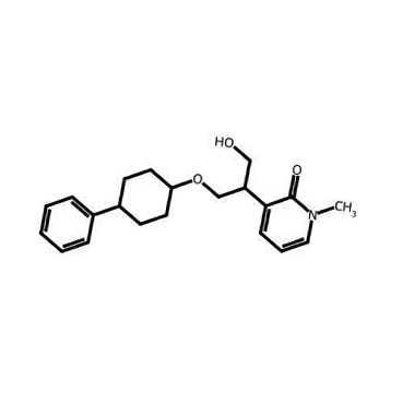 Cn1cccc(C(CO)COC2CCC(c3ccccc3)CC2)c1=O